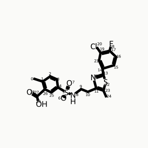 Cc1ccc(S(=O)(=O)NCCc2nc(-c3ccc(F)c(Cl)c3)sc2C)cc1C(=O)O